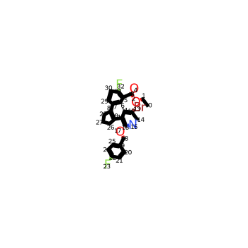 CCOC(=O)c1cc(C2=C(c3cc(Br)cnc3OCc3ccc(F)cc3)CCC2)ccc1F